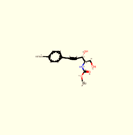 CCCCCCc1ccc(C#C[C@H](O)[C@@H](CO)NC(=O)OC(C)(C)C)cc1